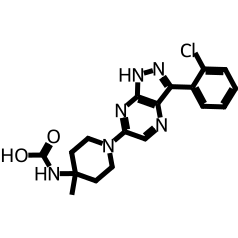 CC1(NC(=O)O)CCN(c2cnc3c(-c4ccccc4Cl)n[nH]c3n2)CC1